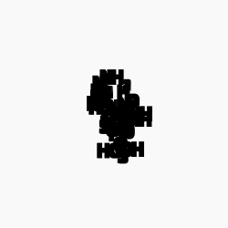 Nc1nc2c(c(=O)[nH]1)NNN2[C@@H]1O[C@H](COP(O)(O)=S)[C@H](F)C1OP(O)(=S)OC[C@@H]1CC(F)(F)[C@H](n2ccc3c(N)ncnc32)O1